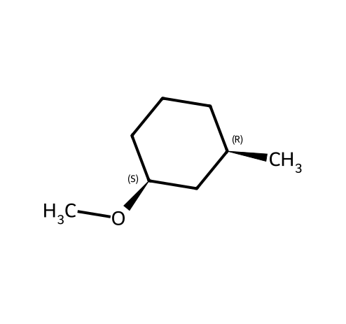 CO[C@H]1CCC[C@@H](C)C1